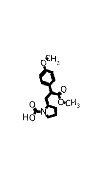 COC(=O)C(CC1CCCN1C(=O)O)c1ccc(OC)cc1